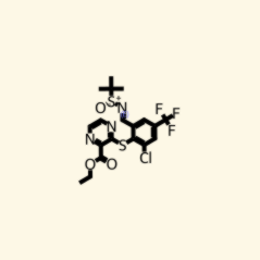 CCOC(=O)c1nccnc1Sc1c(Cl)cc(C(F)(F)F)cc1/C=N/[S+]([O-])C(C)(C)C